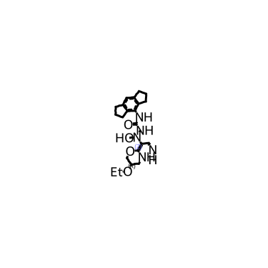 CCO[C@@H]1CN/C(=C(\C=N)N(O)NC(=O)Nc2c3c(cc4c2CCC4)CCC3)OC1